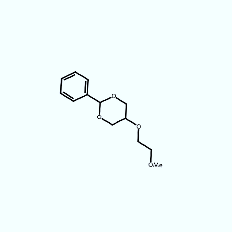 COCCOC1COC(c2ccccc2)OC1